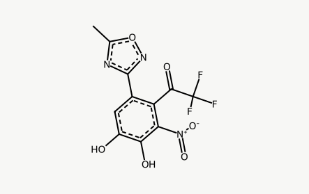 Cc1nc(-c2cc(O)c(O)c([N+](=O)[O-])c2C(=O)C(F)(F)F)no1